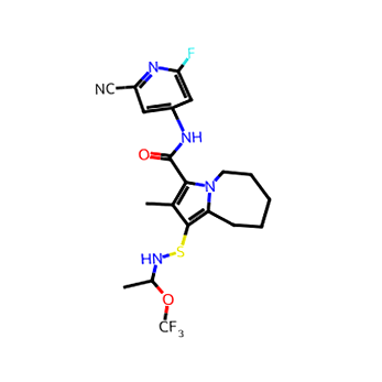 Cc1c(SNC(C)OC(F)(F)F)c2n(c1C(=O)Nc1cc(F)nc(C#N)c1)CCCCC2